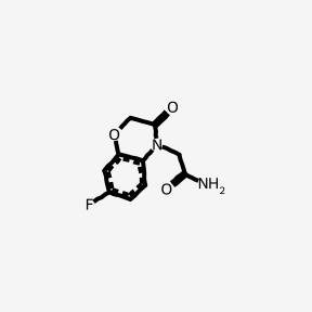 NC(=O)CN1C(=O)COc2cc(F)ccc21